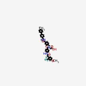 COc1ccc(CC(=O)Nc2ccc(C(=O)N(CC(=O)O)Cc3ccc(-c4nc(C5C=CC(c6ccc(C)cc6)=CC5)no4)cc3)cc2)c(C(F)(F)F)c1